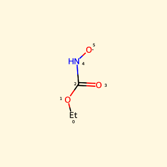 CCOC(=O)N[O]